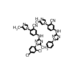 Cc1cn(-c2ccc(Nc3nc(C)n(-c4ccc(Cl)cc4Cl)n3)cc2C#N)cn1.Cc1cn(-c2ccc(Nc3ncn(-c4ccccc4)n3)cc2C#N)cn1